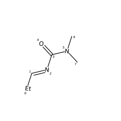 CCC=NC(=O)N(C)C